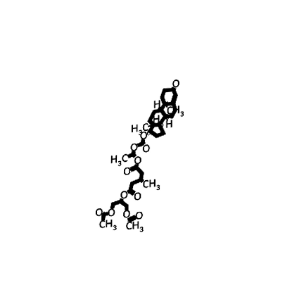 CC(=O)OCC(COC(C)=O)OC(=O)CC(C)CC(=O)OC(C)OC(=O)O[C@H]1CC[C@H]2[C@@H]3CCC4=CC(=O)CC[C@]4(C)[C@H]3CC[C@]12C